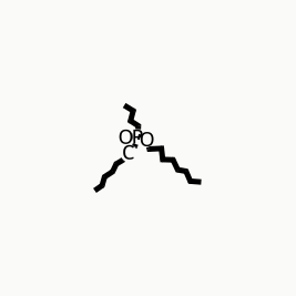 CCCCCCCCOP(=O)(CCCC)CCCCCCCC